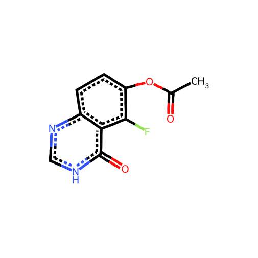 CC(=O)Oc1ccc2nc[nH]c(=O)c2c1F